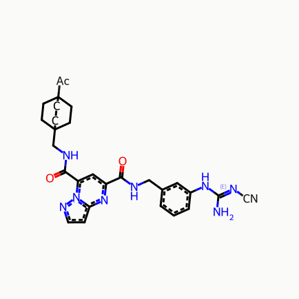 CC(=O)C12CCC(CNC(=O)c3cc(C(=O)NCc4cccc(N/C(N)=N/C#N)c4)nc4ccnn34)(CC1)CC2